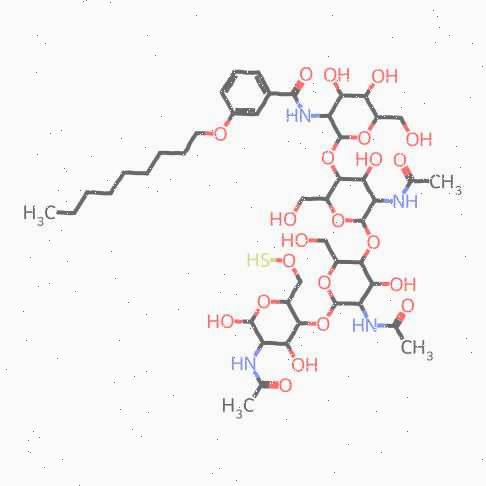 CCCCCCCCCOc1cccc(C(=O)NC2C(OC3C(CO)OC(OC4C(CO)OC(OC5C(COS)OC(O)C(NC(C)=O)C5O)C(NC(C)=O)C4O)C(NC(C)=O)C3O)OC(CO)C(O)C2O)c1